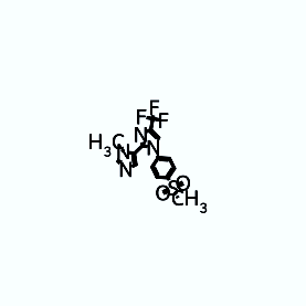 Cn1cncc1-c1nc(C(F)(F)F)cn1-c1ccc(S(C)(=O)=O)cc1